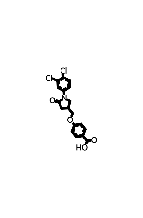 O=C(O)c1ccc(OCC2CC(=O)N(c3ccc(Cl)c(Cl)c3)C2)cc1